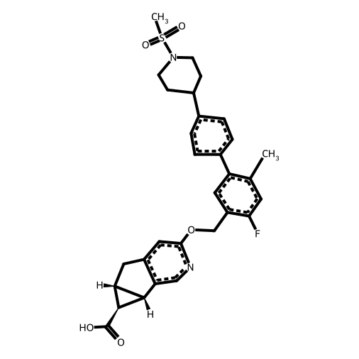 Cc1cc(F)c(COc2cc3c(cn2)[C@H]2[C@@H](C3)[C@@H]2C(=O)O)cc1-c1ccc(C2CCN(S(C)(=O)=O)CC2)cc1